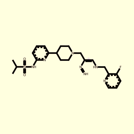 CC(C)S(=O)(=O)Nc1cccc(C2CCN(C/C(=C/NCc3ncccc3F)N=N)CC2)n1